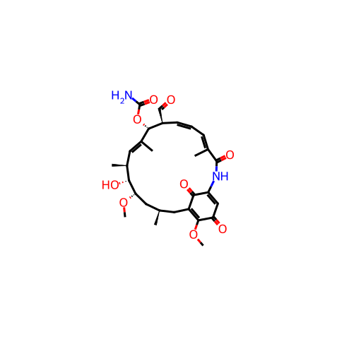 COC1=C2C[C@@H](C)C[C@H](OC)[C@H](O)[C@@H](C)/C=C(\C)[C@H](OC(N)=O)[C@@H](C=O)/C=C\C=C(/C)C(=O)NC(=CC1=O)C2=O